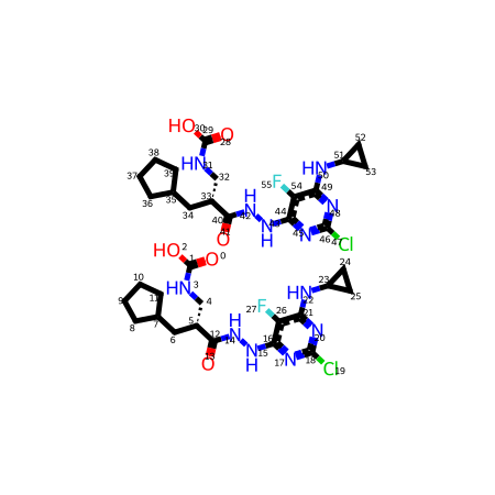 O=C(O)NC[C@@H](CC1CCCC1)C(=O)NNc1nc(Cl)nc(NC2CC2)c1F.O=C(O)NC[C@@H](CC1CCCC1)C(=O)NNc1nc(Cl)nc(NC2CC2)c1F